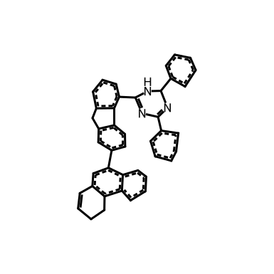 C1=Cc2cc(-c3ccc4c(c3)Cc3cccc(C5=NC(c6ccccc6)=NC(c6ccccc6)N5)c3-4)c3ccccc3c2CC1